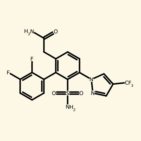 NC(=O)Cc1ccc(-n2cc(C(F)(F)F)cn2)c(S(N)(=O)=O)c1-c1cccc(F)c1F